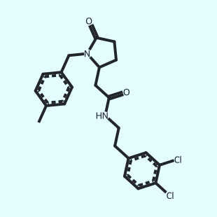 Cc1ccc(CN2C(=O)CCC2CC(=O)NCCc2ccc(Cl)c(Cl)c2)cc1